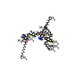 CCCCCCCCCCCCOc1c(C)c(-c2ccc(-c3cc(F)c(-c4ccc(-c5c(OCCCCCCCCCCCC)c(C)c(-c6cc7c(-c8ccc(CC(CC)CCCC)s8)c8sc(C)cc8c(-c8ccc(CC(CC)CCCC)s8)c7s6)c6nsnc56)s4)cc3F)s2)c2nsnc2c1C